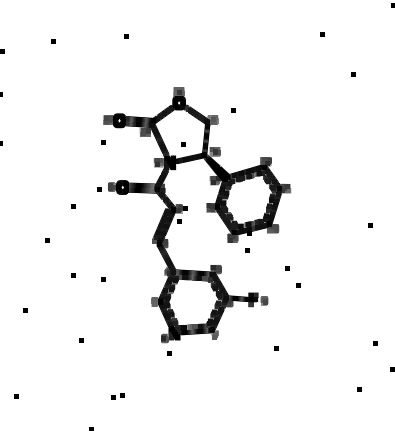 O=C(/C=C/c1cncc(F)c1)N1C(=O)OC[C@H]1c1ccccc1